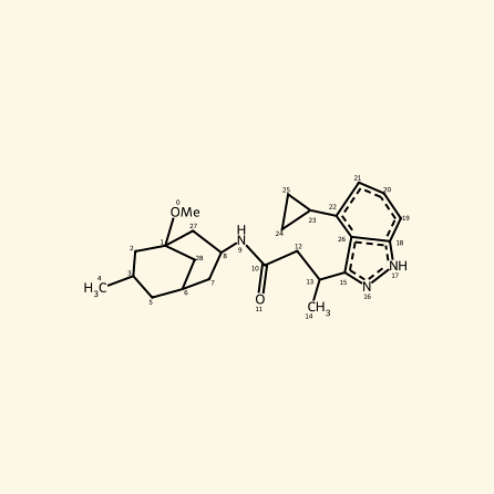 COC12CC(C)CC(CC(NC(=O)CC(C)c3n[nH]c4cccc(C5CC5)c34)C1)C2